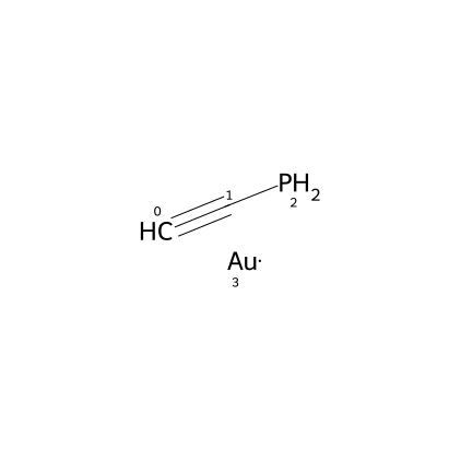 C#CP.[Au]